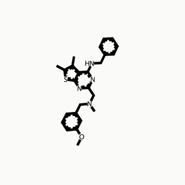 COc1cccc(CN(C)Cc2nc(NCc3ccccc3)c3c(C)c(C)sc3n2)c1